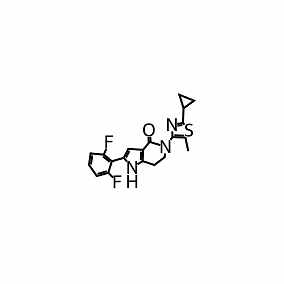 Cc1sc(C2CC2)nc1N1CCc2[nH]c(-c3c(F)cccc3F)cc2C1=O